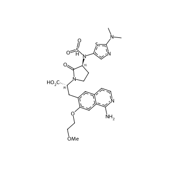 COCCOc1cc2c(N)nccc2cc1C[C@H](C(=O)O)N1CC[C@H](N(c2cnc(N(C)C)s2)[SH](=O)=O)C1=O